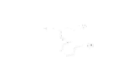 CSCCC(N)C(=O)O.O=C(O)c1ccccc1.[Zn]